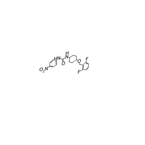 O=C(Nc1ccc([N+](=O)[O-])cc1)NC1CCC(OCc2c(F)cccc2F)CC1